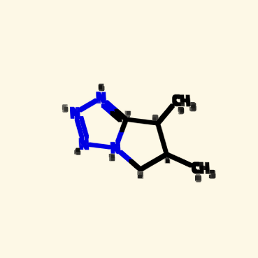 CC1Cn2nnnc2C1C